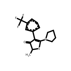 CC1SC(N2CCCC2)=C(c2cccc(C(F)(F)F)c2)C1=O